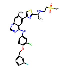 COc1cc2ncnc(Nc3ccc(OCc4cccc(F)c4)c(Cl)c3)c2cc1-c1csc(C(C)NCCS(=O)(=O)C(C)C)n1